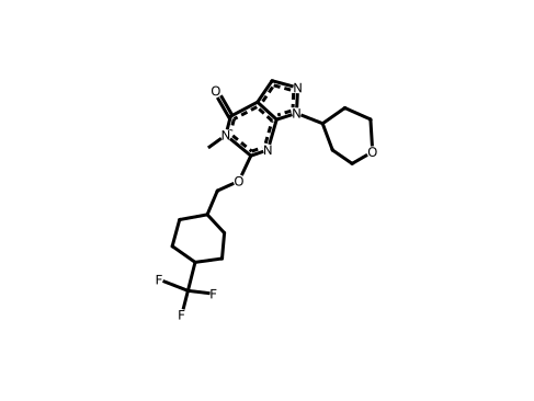 Cn1c(OCC2CCC(C(F)(F)F)CC2)nc2c(cnn2C2CCOCC2)c1=O